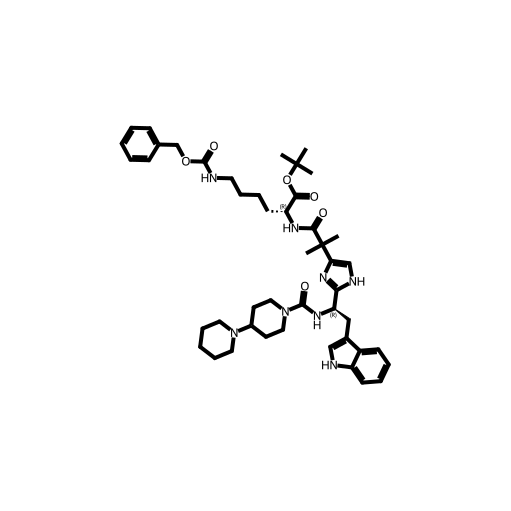 CC(C)(C)OC(=O)[C@@H](CCCCNC(=O)OCc1ccccc1)NC(=O)C(C)(C)c1c[nH]c([C@@H](Cc2c[nH]c3ccccc23)NC(=O)N2CCC(N3CCCCC3)CC2)n1